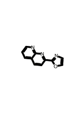 c1cnc2nc(-c3ncco3)ccc2c1